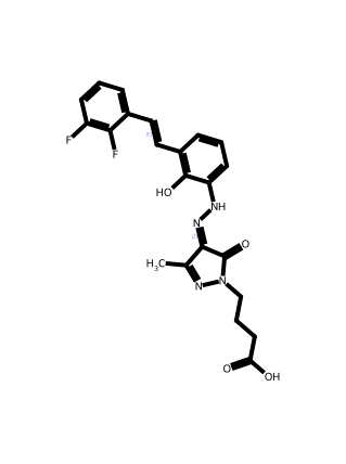 CC1=NN(CCCC(=O)O)C(=O)/C1=N\Nc1cccc(/C=C/c2cccc(F)c2F)c1O